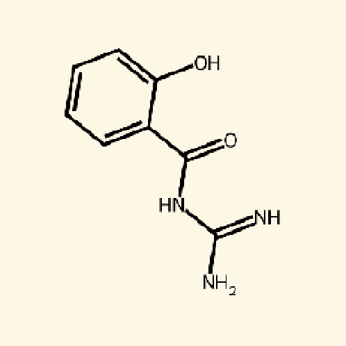 N=C(N)NC(=O)c1ccccc1O